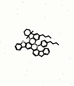 CCCCc1ccc(N2B3c4cc(CCCC)cc5c4N(c4c3c(cc3c4oc4ccccc43)-c3ccc4c(c32)-c2ccccc2C4)C2(C)CCCCC52C)cc1